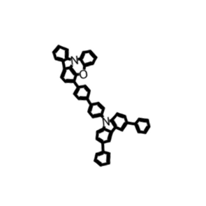 c1ccc(-c2ccc3c(c2)c2cc(-c4ccccc4)ccc2n3-c2ccc(-c3ccc(-c4ccc5c6ccccc6n6c5c4Oc4ccccc4-6)cc3)cc2)cc1